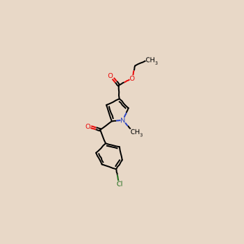 CCOC(=O)c1cc(C(=O)c2ccc(Cl)cc2)n(C)c1